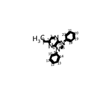 CCc1cnc2c(n1)[n+](-c1ccccc1)cn2-c1ccccc1